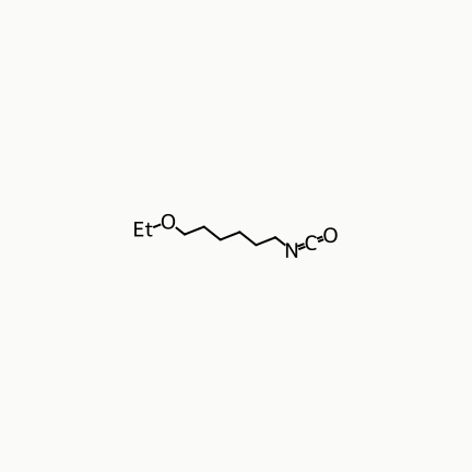 CCOCCCCCCN=C=O